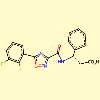 O=C(O)C[C@H](NC(=O)c1noc(-c2cccc(F)c2F)n1)c1ccccc1